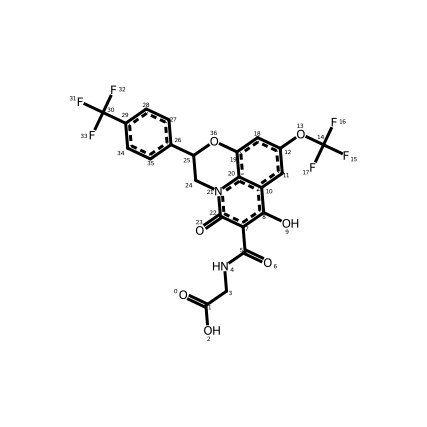 O=C(O)CNC(=O)c1c(O)c2cc(OC(F)(F)F)cc3c2n(c1=O)CC(c1ccc(C(F)(F)F)cc1)O3